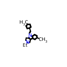 CCN1CCc2c(c3cc(C)ccc3n2/C=C/c2ccc(C)cc2)C1